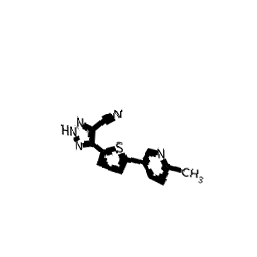 Cc1ccc(-c2ccc(-c3n[nH]nc3C#N)s2)cn1